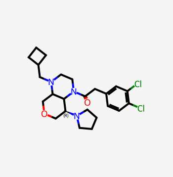 O=C(Cc1ccc(Cl)c(Cl)c1)N1CCN(CC2CCC2)C2COC[C@H](N3CCCC3)C21